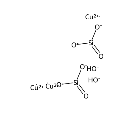 O=[Si]([O-])[O-].O=[Si]([O-])[O-].[Cu+2].[Cu+2].[Cu+2].[OH-].[OH-]